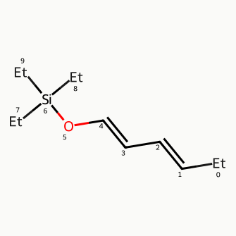 CCC=CC=CO[Si](CC)(CC)CC